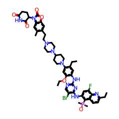 CCOc1cc(N2CCC(N3CCN(CCc4cc5oc(=O)n(C6CCC(=O)NC6=O)c5cc4C)CC3)CC2)c(CC)cc1Nc1ncc(Br)c(Nc2cc(F)c3nc(CC)ccc3c2P(C)(C)=O)n1